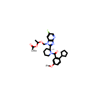 COC(=O)OC(C)OCn1c([C@]2(C)CCCCN2C(=O)c2cc(OC(C)C)ccc2C2CCCC2)nc2ncc(F)cc21